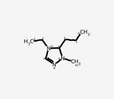 CCCC1N(CC)C=NN1C